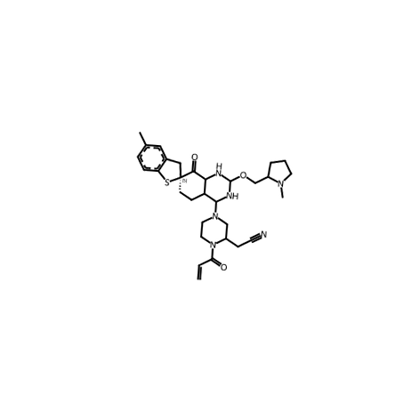 C=CC(=O)N1CCN(C2NC(OCC3CCCN3C)NC3C(=O)[C@]4(CCC32)Cc2cc(C)ccc2S4)CC1CC#N